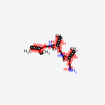 COc1cccc2c1C(=O)c1c(O)c3c(c(O)c1C2=O)C[C@@](O)(C(=O)COC(=O)CCC(=O)NC1CC(C)OC(O[C@H]2C[C@](O)(C(=O)COC(=O)CCC(=O)NC4CC(C)OC(O[C@H]5C[C@](O)(C(=O)COC(=O)CCC(=O)N(N)O)Cc6c(O)c7c(c(O)c65)C(=O)c5c(OC)cccc5C7=O)C4)Cc4c(O)c5c(c(O)c42)C(=O)c2c(OC)cccc2C5=O)C1)C[C@@H]3OC1CCCC(C)O1